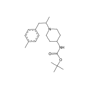 Cc1ccc(CC(C)N2CCC(NC(=O)OC(C)(C)C)CC2)cc1